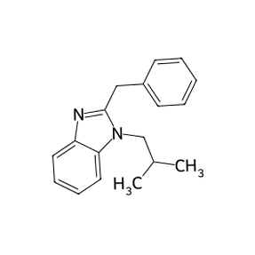 CC(C)Cn1c(Cc2ccccc2)nc2ccccc21